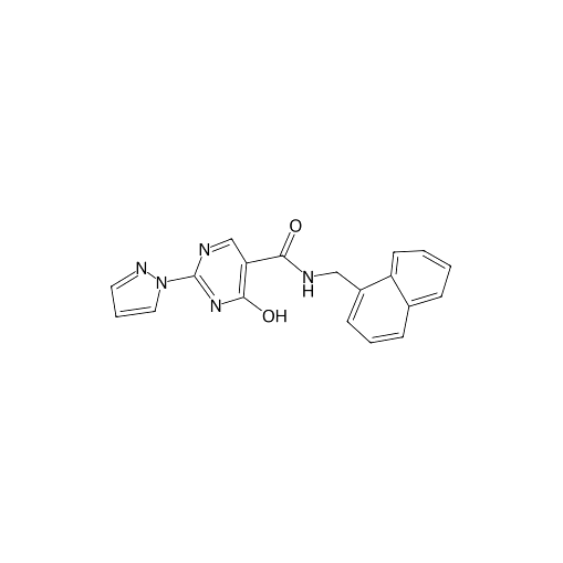 O=C(NCc1cccc2ccccc12)c1cnc(-n2cccn2)nc1O